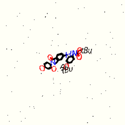 CC(C)(C)OC(=O)N[C@H]1CC[C@H](O[Si](C)(C)C(C)(C)C)C[C@@H]1Cc1ccc2c(c1)CN([C@H]1CCC(=O)CC1=O)C2=O